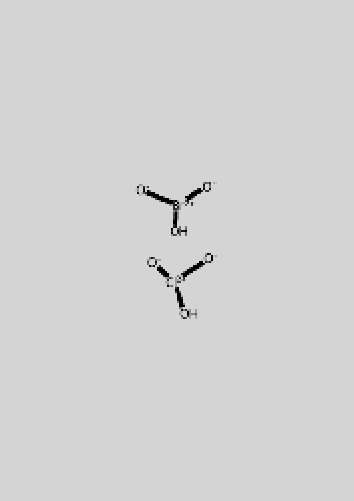 [O-][Br+2]([O-])O.[O-][Cl+2]([O-])O